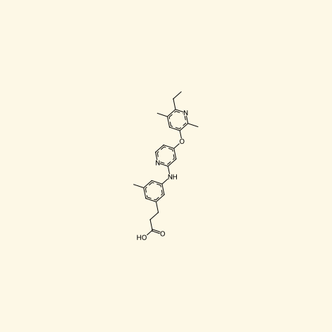 CCc1nc(C)c(Oc2ccnc(Nc3cc(C)cc(CCC(=O)O)c3)c2)cc1C